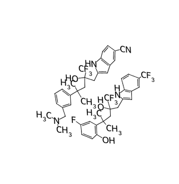 CC(C)(CC(O)(Cc1cc2cc(C(F)(F)F)ccc2[nH]1)C(F)(F)F)c1cc(F)ccc1O.CN(C)Cc1cccc(C(C)(C)CC(O)(Cc2cc3cc(C#N)ccc3[nH]2)C(F)(F)F)c1